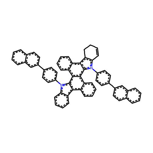 C1=Cc2c(c3c4ccccc4c4c(c5ccccc5c5c6ccccc6n(-c6ccc(-c7ccc8ccccc8c7)cc6)c54)c3n2-c2ccc(-c3ccc4ccccc4c3)cc2)CC1